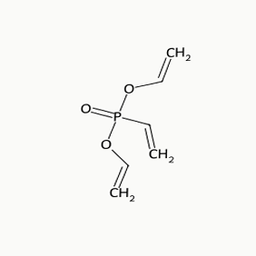 C=COP(=O)(C=C)OC=C